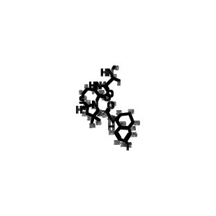 CNC(C)C(=O)N[C@H]1CCS[C@H]2CC(C)(C)[C@@H](C(=O)N[C@@H]3CCCc4cc(F)ccc43)N2C1=O